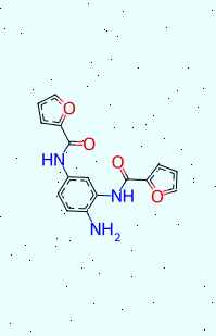 Nc1ccc(NC(=O)c2ccco2)cc1NC(=O)c1ccco1